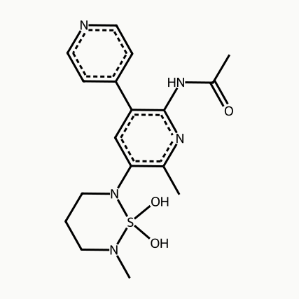 CC(=O)Nc1nc(C)c(N2CCCN(C)S2(O)O)cc1-c1ccncc1